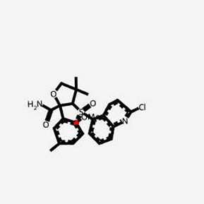 COc1ccc(C)cc1C1(C(N)=O)OCC(C)(C)C1S(=O)(=O)c1cccc2nc(Cl)ccc12